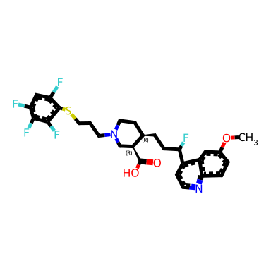 COc1ccc2nccc(C(F)CC[C@@H]3CCN(CCCSc4c(F)cc(F)c(F)c4F)C[C@@H]3C(=O)O)c2c1